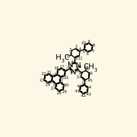 CC1CC=C(c2ccccc2)C=C1c1nc(-c2ccc3c4ccccc4c4ccccc4c3c2)nc(C2C=C(c3ccccc3)C=CC2C)n1